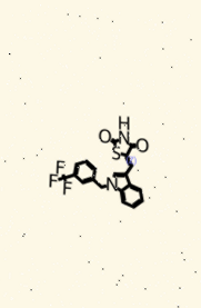 O=C1NC(=O)/C(=C/c2cn(Cc3cccc(C(F)(F)F)c3)c3ccccc23)S1